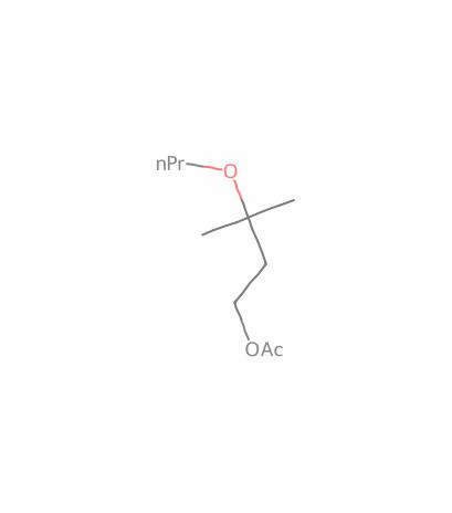 CCCOC(C)(C)CCOC(C)=O